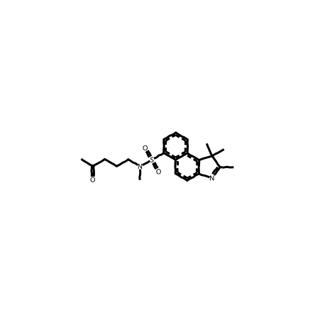 CC(=O)CCCN(C)S(=O)(=O)c1cccc2c3c(ccc12)N=C(C)C3(C)C